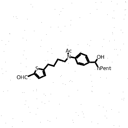 CCCCCC(O)c1ccc(N(CCCCc2ccc(C=O)s2)C(C)=O)cc1